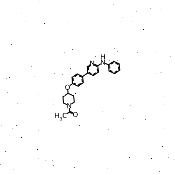 CC(=O)N1CCC(Oc2ccc(-c3ccc(Nc4ccccc4)nc3)cc2)CC1